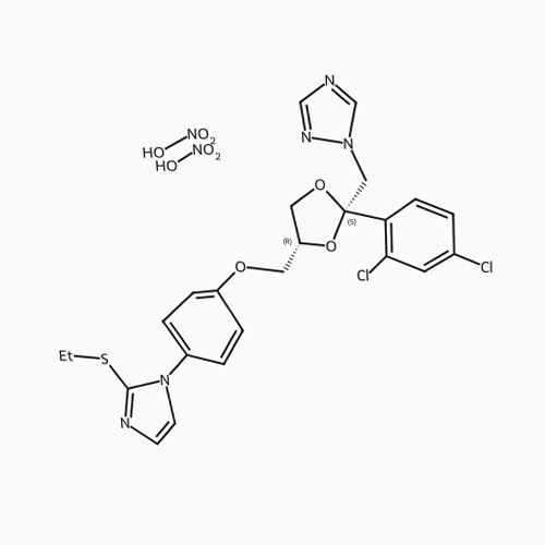 CCSc1nccn1-c1ccc(OC[C@@H]2CO[C@@](Cn3cncn3)(c3ccc(Cl)cc3Cl)O2)cc1.O=[N+]([O-])O.O=[N+]([O-])O